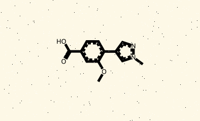 COc1cc(C(=O)O)ccc1-c1cnn(C)c1